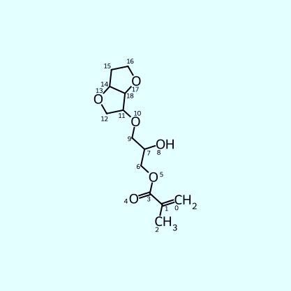 C=C(C)C(=O)OCC(O)COC1COC2CCOC21